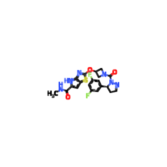 CNC(=O)c1cc2sc(OC3CN(C(=O)N4N=CC[C@H]4c4cc(F)cc(F)c4)C3)nc2[nH]1